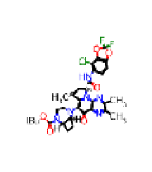 Cc1nc2c(=O)c(N3CCN(C(=O)OC(C)(C)C)[C@H]4CC[C@@H]43)c3n(c2nc1C)[C@@H](C(=O)Nc1ccc2c(c1Cl)OC(F)(F)O2)C[C@H]3C